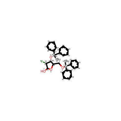 CC(C)(C)[Si](OCC1OC(O)[C@@H](F)[C@@H]1O[Si](c1ccccc1)(c1ccccc1)C(C)(C)C)(c1ccccc1)c1ccccc1